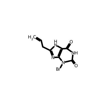 C=CCc1nc2c([nH]1)c(=O)[nH]c(=O)n2Br